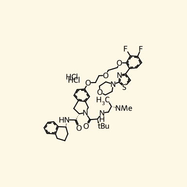 CN[C@@H](C)CN[C@H](C(=O)N1Cc2cc(OCCOCCOc3c(-c4csc(N5CCOCC5)n4)ccc(F)c3F)ccc2C[C@H]1C(=O)N[C@@H]1CCCc2ccccc21)C(C)(C)C.Cl.Cl